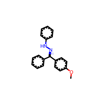 COc1ccc(/C(=N/Nc2ccccc2)c2ccccc2)cc1